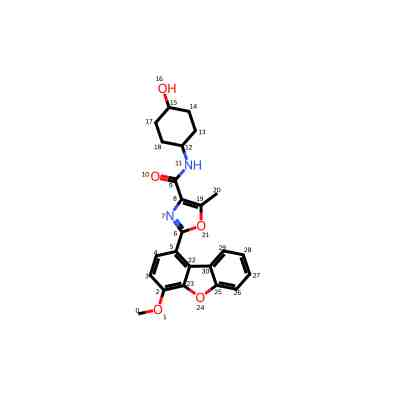 COc1ccc(-c2nc(C(=O)NC3CCC(O)CC3)c(C)o2)c2c1oc1ccccc12